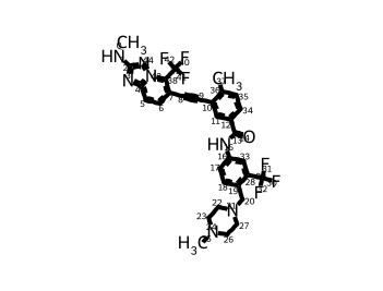 CNc1nc2ccc(C#Cc3cc(C(=O)Nc4ccc(CN5CCN(C)CC5)c(C(F)(F)F)c4)ccc3C)c(C(F)(F)F)n2n1